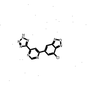 Clc1cc(-c2cc(-c3nn[nH]n3)ncn2)cc2nonc12